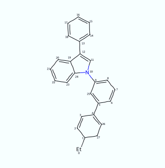 CCC1C=CC(c2cccc(-n3cc(-c4ccccc4)c4ccccc43)c2)=CC1